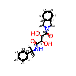 CC(C)(NC(=O)[C@H](O)[C@@H](O)C(=O)N1Cc2ccccc2C1)c1ccccc1